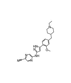 CCN1CCC(Cc2ccc(-c3cc(Nc4cnc(C#N)cn4)n[nH]3)c(OC)c2)CC1